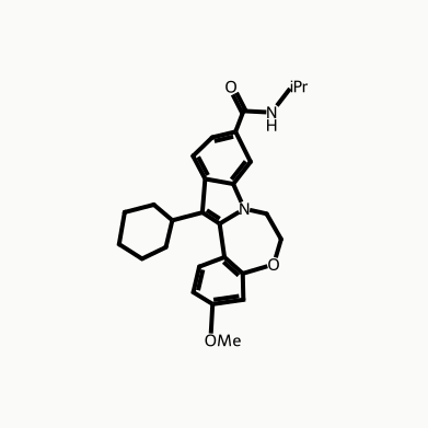 COc1ccc2c(c1)OCCn1c-2c(C2CCCCC2)c2ccc(C(=O)NC(C)C)cc21